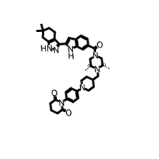 C[C@@H]1CN(C(=O)c2ccc3cc(-c4n[nH]c5c4CCC(C)(C)C5)[nH]c3c2)C[C@H](C)N1CC1CCN(c2ccc(N3C(=O)CCCC3=O)cc2)CC1